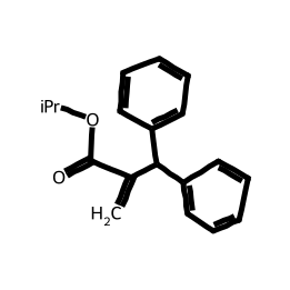 C=C(C(=O)OC(C)C)C(c1ccccc1)c1ccccc1